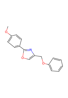 COc1ccc(-c2nc(COc3ccccc3)co2)cc1